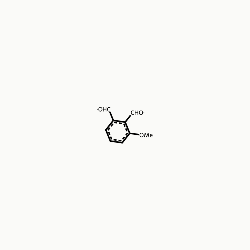 COc1cccc([C]=O)c1[C]=O